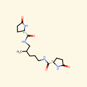 CC(CCCNC(=O)[C@@H]1CCC(=O)N1)CNC(=O)[C@@H]1CCC(=O)N1